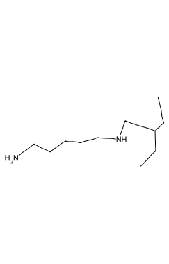 CCC(CC)CNCCCCCN